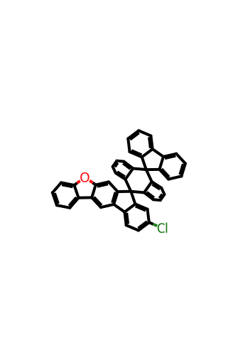 Clc1ccc2c(c1)C1(c3cc4oc5ccccc5c4cc3-2)c2ccccc2C2(c3ccccc3-c3ccccc32)c2ccccc21